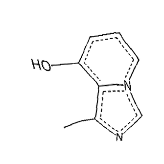 Cc1ncn2cccc(O)c12